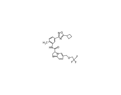 Cc1ccc(-c2noc(C3CCC3)n2)cc1NC(=O)C1CN=C2C=CC(COCC(F)(F)F)=CN21